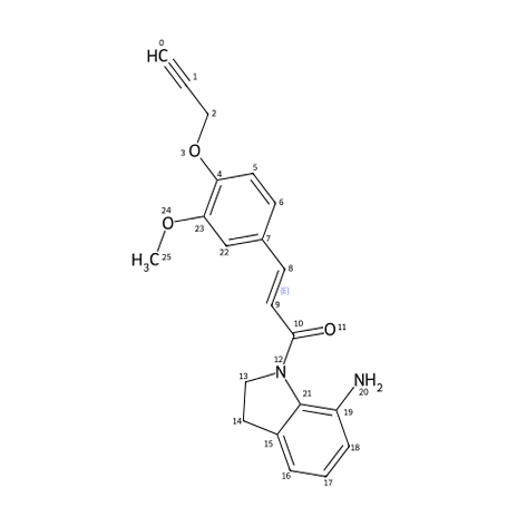 C#CCOc1ccc(/C=C/C(=O)N2CCc3cccc(N)c32)cc1OC